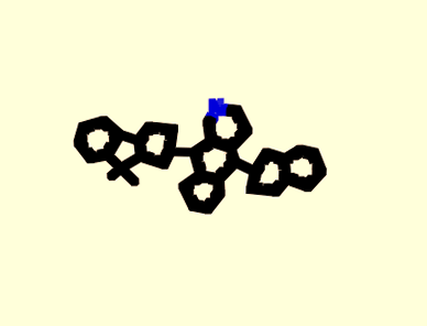 CC1(C)c2ccccc2-c2ccc(-c3c4ccccc4c(-c4ccc5ccccc5c4)c4ccncc34)cc21